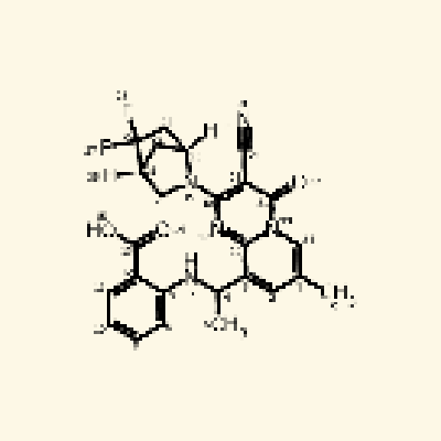 Cc1cc(C(C)Nc2ccccc2C(=O)O)c2nc(N3C[C@H]4C[C@@H]3CC4(F)F)c(C#N)c(=O)n2c1